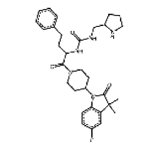 CC1(C)C(=O)N(C2CCN(C(=O)C(CCc3ccccc3)NC(=O)NCC3CCCN3)CC2)c2ccc(F)cc21